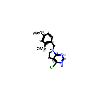 COc1ccc(CN2CCc3c(Cl)ncnc32)c(OC)c1